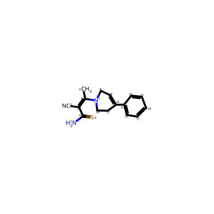 CC(=C(C#N)C(N)=S)N1CC=C(c2ccccc2)CC1